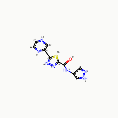 O=C(Nc1cn[nH]c1)c1nnc(-c2cnccn2)s1